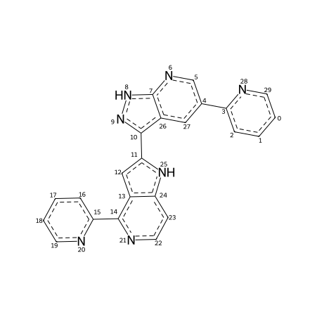 c1ccc(-c2cnc3[nH]nc(-c4cc5c(-c6ccccn6)nccc5[nH]4)c3c2)nc1